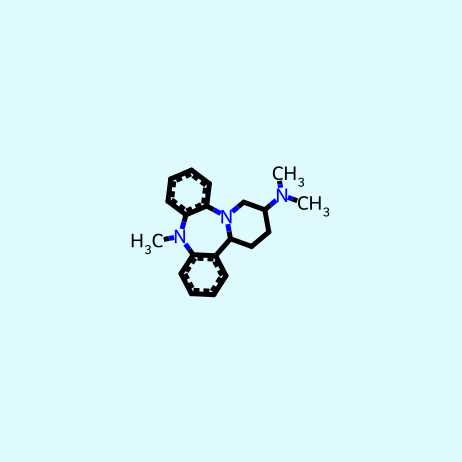 CN1c2ccccc2C2CCC(N(C)C)CN2c2ccccc21